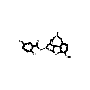 COc1ccc2c3c1OC1C[C@@H](OC(=O)c4cc(Cl)ccc4Cl)CC(C)[C@@]31CCN(C)C2